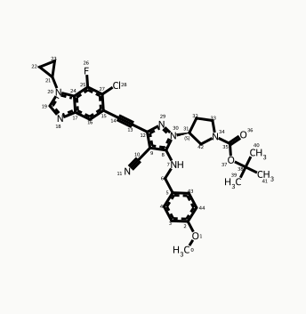 COc1ccc(CNc2c(C#N)c(C#Cc3cc4ncn(C5CC5)c4c(F)c3Cl)nn2[C@H]2CCN(C(=O)OC(C)(C)C)C2)cc1